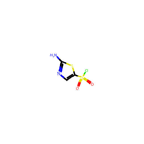 Nc1ncc(S(=O)(=O)Cl)s1